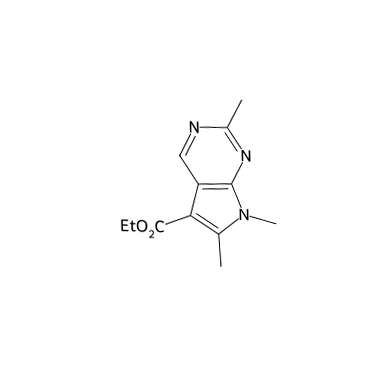 CCOC(=O)c1c(C)n(C)c2nc(C)ncc12